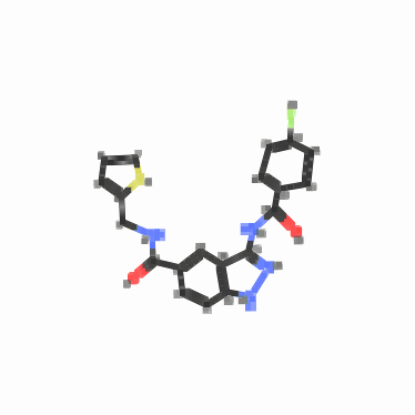 O=C(NCc1cccs1)c1ccc2[nH]nc(NC(=O)c3ccc(F)cc3)c2c1